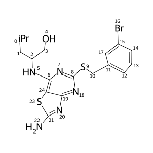 CC(C)CC(CO)Nc1nc(SCc2cccc(Br)c2)nc2nc(N)sc12